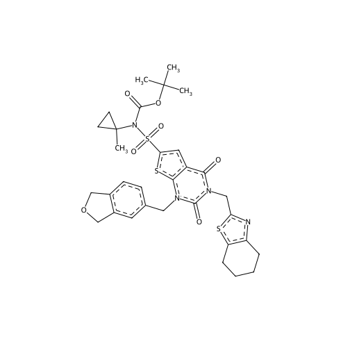 CC(C)(C)OC(=O)N(C1(C)CC1)S(=O)(=O)c1cc2c(=O)n(Cc3nc4c(s3)CCCC4)c(=O)n(Cc3ccc4c(c3)COC4)c2s1